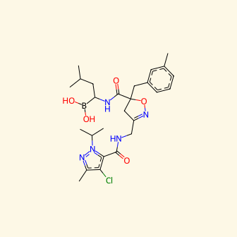 Cc1cccc(CC2(C(=O)NC(CC(C)C)B(O)O)CC(CNC(=O)c3c(Cl)c(C)nn3C(C)C)=NO2)c1